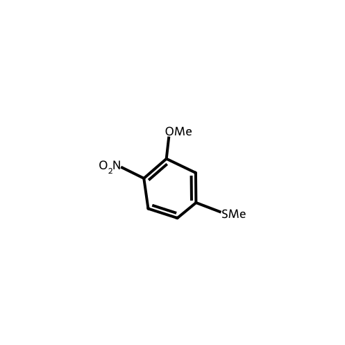 COc1cc(SC)ccc1[N+](=O)[O-]